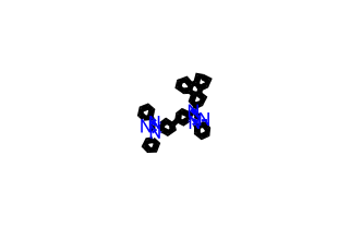 c1ccc(-n2c3ccc(-c4ccc5c(c4)n4c6ccccc6nc4n5-c4ccc5c6ccccc6c6ccccc6c5c4)cc3n3c4ccccc4nc23)cc1